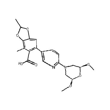 CO[C@H]1CN(c2ccc(-c3cc4c(c(C)c3C(=O)O)OC(C)O4)cn2)C[C@@H](OC)O1